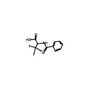 O=C(NC(C(=O)O)C(F)(F)F)c1ccccc1